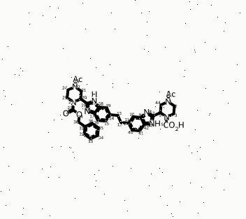 CC(=O)N1CCN(C(=O)O)C(c2nc3cc(CCc4ccc5nc(C6CN(C(C)=O)CCN6C(=O)OCc6ccccc6)[nH]c5c4)ccc3[nH]2)C1